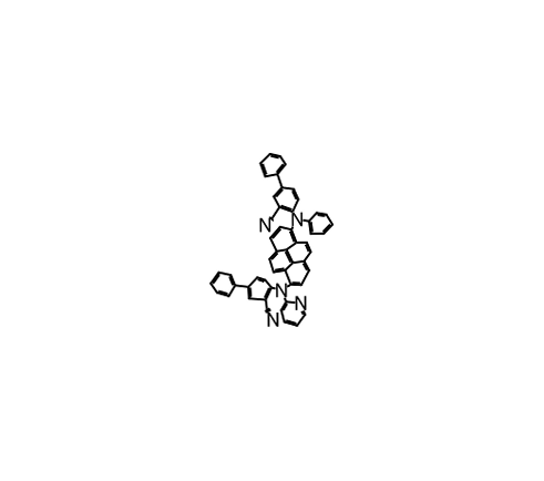 N#Cc1cc(-c2ccccc2)ccc1N(c1ccccc1)c1ccc2ccc3c(N(c4ccccn4)c4ccc(-c5ccccc5)cc4C#N)ccc4ccc1c2c43